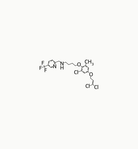 Cc1cc(OCC=C(Cl)Cl)cc(Cl)c1OCCCCNCc1ccc(C(F)(F)F)cn1